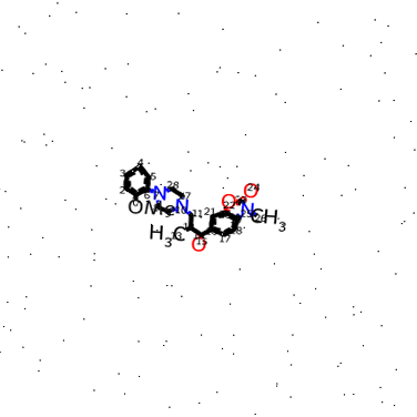 COc1ccccc1N1CCN(CC(C)C(=O)c2ccc3c(c2)oc(=O)n3C)CC1